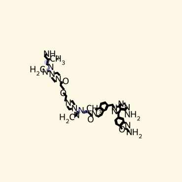 C=N/C(=N\C=C(/C)C(=O)N1CCc2cc(Cn3nc(-c4ccc5oc(N)nc5c4)c4c(N)ncnc43)ccc2C1)N1CCN(CCOCCC(=O)N2CCN(/C(N=C)=N/C=C(\C)CN)CC2)CC1